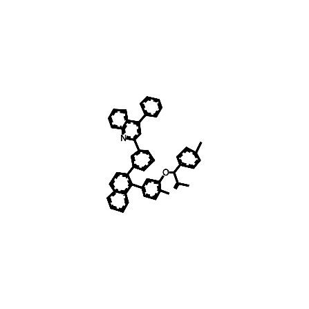 C=C(C)C(Oc1cc(-c2c(-c3cccc(-c4cc(-c5ccccc5)c5ccccc5n4)c3)ccc3ccccc23)ccc1C)c1ccc(C)cc1